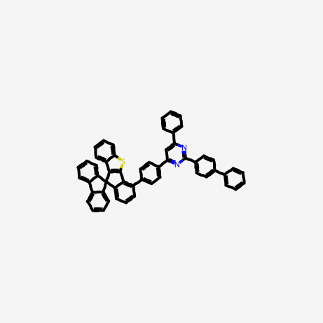 c1ccc(-c2ccc(-c3nc(-c4ccccc4)cc(-c4ccc(-c5cccc6c5-c5sc7ccccc7c5C65c6ccccc6-c6ccccc65)cc4)n3)cc2)cc1